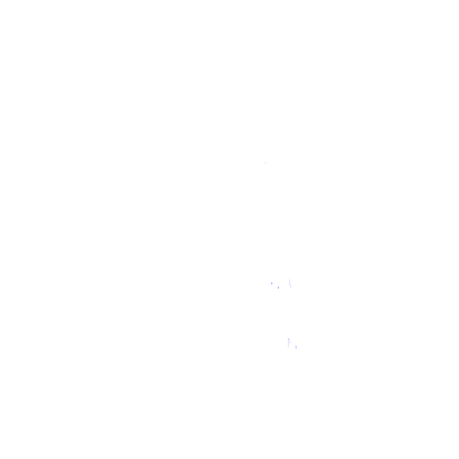 Cc1cc(C)c(C)c(C(=O)c2ccc(Nc3ccccc3N)cc2)c1C